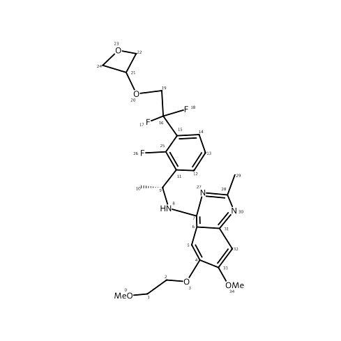 COCCOc1cc2c(N[C@H](C)c3cccc(C(F)(F)COC4COC4)c3F)nc(C)nc2cc1OC